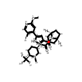 COc1cc(-c2cc(C(=O)N3[C@@H]4CC[C@H]3CC(C(=O)N[C@@H]3CC[C@H](C(F)(F)F)N(C)C3)C4)n[nH]2)c(F)cn1